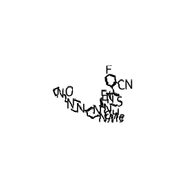 CC/C=C(\N(C)C1=NC(c2ccc(F)cc2C#N)=CSC1)N1C=C(N2CCN(CC(=O)N3CCC3)CC2)C=CC1NC